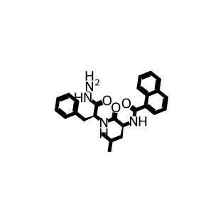 CC(C)C[C@H](NC(=O)c1cccc2ccccc12)C(=O)N[C@@H](Cc1ccccc1)C(=O)NN